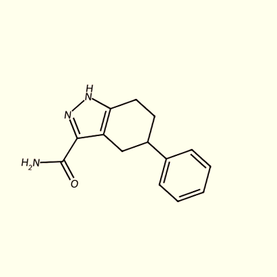 NC(=O)c1n[nH]c2c1CC(c1ccccc1)CC2